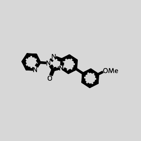 COc1cccc(-c2ccc3nn(-c4ccccn4)c(=O)n3c2)c1